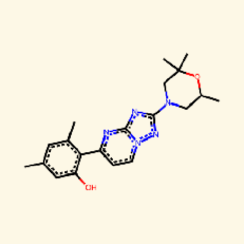 Cc1cc(C)c(-c2ccn3nc(N4CC(C)OC(C)(C)C4)nc3n2)c(O)c1